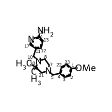 COc1ccc(CN2CCN(Cc3ccc(N)nc3)C(C)(C)C2)cc1